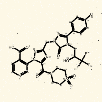 O=C(O)c1ccncc1-n1nc(Cn2nc(-c3ccc(Cl)cc3)n(CC(O)C(F)(F)F)c2=O)nc1C(=O)N1CCS(=O)(=O)CC1